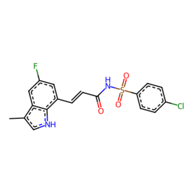 Cc1c[nH]c2c(C=CC(=O)NS(=O)(=O)c3ccc(Cl)cc3)cc(F)cc12